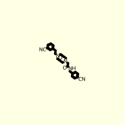 N#Cc1ccc(CNC(=O)CN2CC3CN(CCc4cccc(C#N)c4)CC(C2)O3)cc1